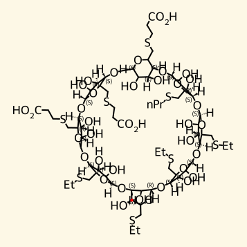 CCCSCC1O[C@@H]2O[C@@H]3C(CSCCC(=O)O)O[C@H](O[C@@H]4C(CSCCC(=O)O)O[C@H](O[C@@H]5C(CSCCC(=O)O)OC(O[C@@H]6C(CSCC)O[C@H](O[C@@H]7C(O)[C@@H](OC(CSCC)[C@H]7O)O[C@@H]7C(CSCC)O[C@H](O[C@@H]8C(CSCC)O[C@H](O[C@H]1[C@H](O)C2O)C(O)[C@H]8O)C(O)[C@H]7O)C(O)[C@H]6O)[C@@H](O)[C@H]5O)C(O)[C@H]4O)C(O)[C@H]3O